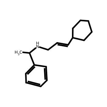 CC(NCC=CC1CCCCC1)c1ccccc1